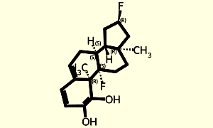 C[C@]12CC[C@]3(F)[C@@H](CC=C4C=CC(O)=C(O)[C@@]43C)[C@@H]1C[C@@H](F)C2